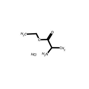 CCOC(=O)C(C)N.Cl